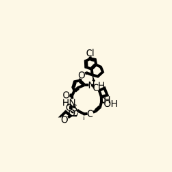 C[C@H]1C/C=C\[C@H](O)[C@@H]2CC[C@H]2CN2C[C@@]3(CCCc4cc(Cl)ccc43)COc3ccc(cc32)C(=O)NS(=O)(=O)[C@H]1C[C@@H]1CCO1